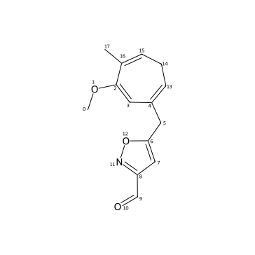 COC1=CC(Cc2cc(C=O)no2)=CCC=C1C